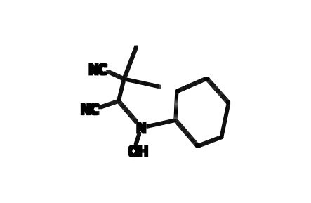 CC(C)(C#N)C(C#N)N(O)C1CCCCC1